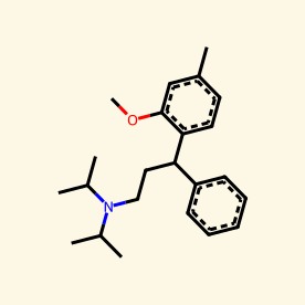 COc1cc(C)ccc1C(CCN(C(C)C)C(C)C)c1ccccc1